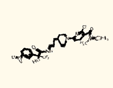 CCOc1cccc([C@@](O)(C(=O)NCCCC2CCN(c3ccc(C(=O)N(C)C)c(Cl)n3)CC2)C(F)(F)F)c1